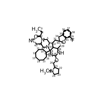 C=CC(=O)N1CCN(C2(C3CCCCCCC3)NC(OCC3CCCN3C)NC3C[C@]4(CCC32)Cc2cccc(F)c2O4)CC1CC#N